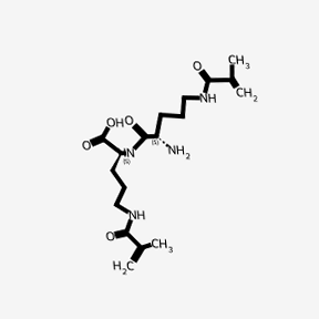 C=C(C)C(=O)NCCC[C@H](NC(=O)[C@@H](N)CCCNC(=O)C(=C)C)C(=O)O